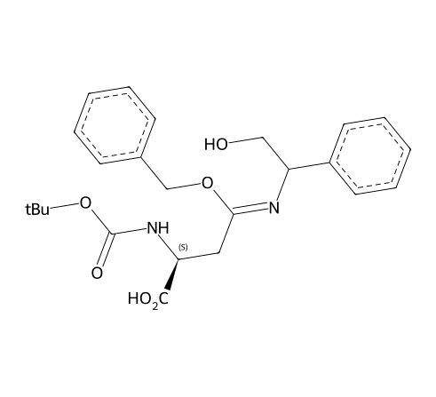 CC(C)(C)OC(=O)N[C@@H](CC(=NC(CO)c1ccccc1)OCc1ccccc1)C(=O)O